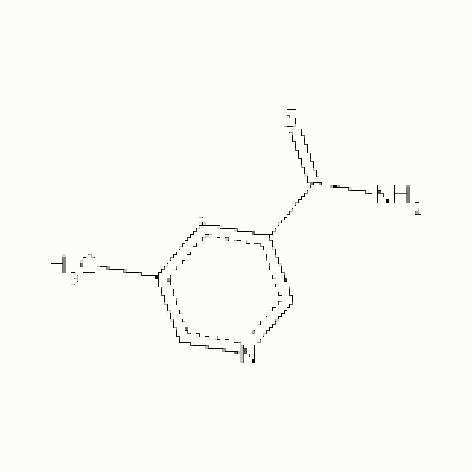 Cc1[c]c(C(N)=S)cnc1